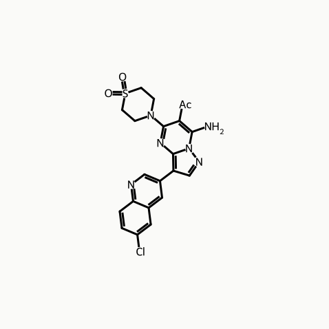 CC(=O)c1c(N2CCS(=O)(=O)CC2)nc2c(-c3cnc4ccc(Cl)cc4c3)cnn2c1N